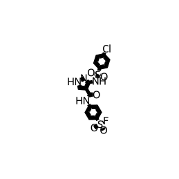 O=C(Nc1ccc(S(=O)(=O)F)cc1)c1c[nH]nc1NS(=O)(=O)c1ccc(Cl)cc1